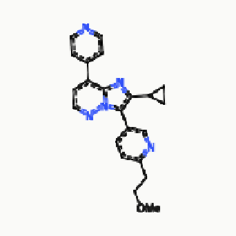 COCCc1ccc(-c2c(C3CC3)nc3c(-c4ccncc4)ccnn23)cn1